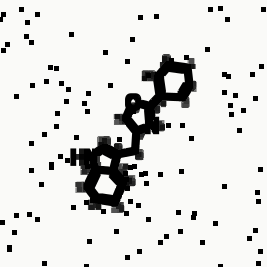 [c]1cccc(C2=NC(Cc3c[nH]c4ccccc34)CO2)c1